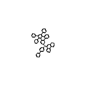 C1=CCCC(c2c(-c3ccccc3)cc(-c3ccccc3)c3c2c2c(c4ccccc43)CC(N(c3ccc(-c4ccccc4)cc3)c3cc4c(c5ccccc35)C=CCC4)C=C2)=C1